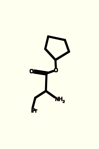 CC(C)CC(N)C(=O)OC1CCCC1